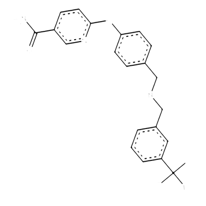 NC(=O)c1ccc(Oc2ccc(CNCc3cccc(C(F)(F)F)c3)cc2)nc1